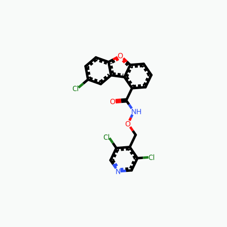 O=C(NOCc1c(Cl)cncc1Cl)c1cccc2oc3ccc(Cl)cc3c12